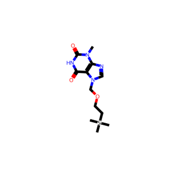 Cn1c(=O)[nH]c(=O)c2c1ncn2COCC[Si](C)(C)C